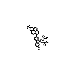 C=CC(=O)OCC1(COC(=O)C=C)c2cc(Cl)ccc2-c2ccc(-c3ccc4ccc5cc(C(C)(C)C)cc6ccc3c4c56)cc21